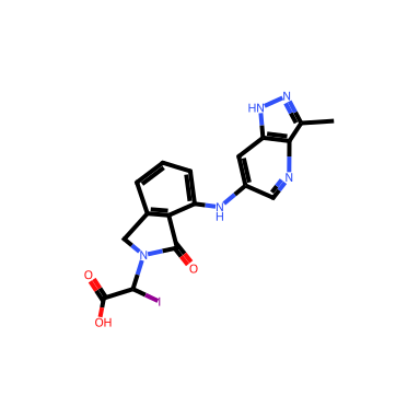 Cc1n[nH]c2cc(Nc3cccc4c3C(=O)N(C(I)C(=O)O)C4)cnc12